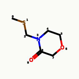 CSCN1CCOCC1=O